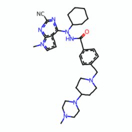 CN1CCN(C2CCN(Cc3ccc(C(=O)NN(c4nc(C#N)nc5c4ccn5C)C4CCCCC4)cc3)CC2)CC1